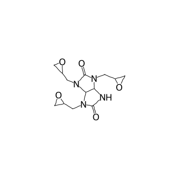 O=C1NC2C(N1CC1CO1)N(CC1CO1)C(=O)N2CC1CO1